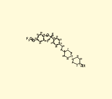 CC[C@H]1CC[C@H](C2CCC(CCc3ccc(C(F)(F)Oc4ccc(OC(F)(F)F)cc4)cc3)CC2)CC1